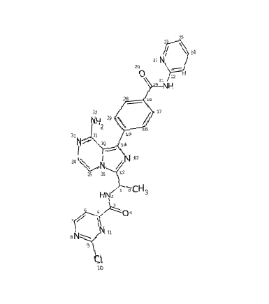 CC(NC(=O)c1ccnc(Cl)n1)c1nc(-c2ccc(C(=O)Nc3ccccn3)cc2)c2c(N)nccn12